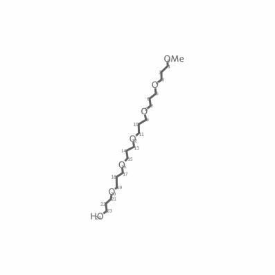 COCCCOCCCOCCCOCCCOCCCOCCCO